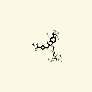 CC(C)(C)c1ccc2c(c1)nc(CC1CC(C(N)=O)C1)n2COCCS(C)(C)C